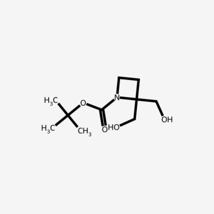 CC(C)(C)OC(=O)N1CCC1(CO)CO